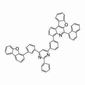 c1ccc(-c2nc(-c3cccc(-c4cccc5c4nc(-c4cccc6ccccc46)c4oc6ccccc6c45)c3)cc(-c3cccc(-c4cccc5c4oc4ccccc45)c3)n2)cc1